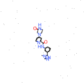 Cn1cnnc1-c1cccc(NC(=O)c2cc(N3CCNC(=O)C3)ccn2)c1